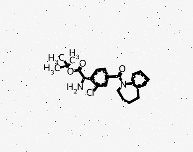 CC(C)(C)OC(=O)C(N)c1ccc(C(=O)N2CCCCc3ccccc32)cc1Cl